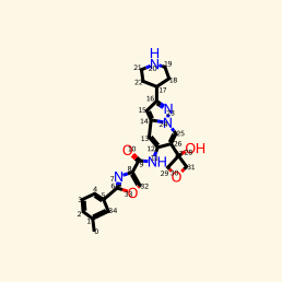 Cc1cccc(-c2nc(C(=O)Nc3cc4cc(C5CCNCC5)nn4cc3C3(O)COC3)co2)c1